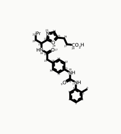 Cc1ccccc1NC(=O)Nc1ccc(CC(=O)NC(CC(C)C)c2ncc(CCC(=O)O)o2)cc1